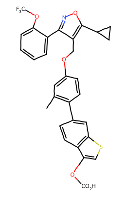 Cc1cc(OCc2c(-c3ccccc3OC(F)(F)F)noc2C2CC2)ccc1-c1ccc2c(OC(=O)O)csc2c1